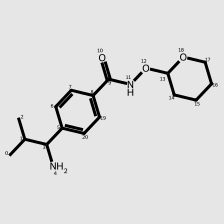 CC(C)C(N)c1ccc(C(=O)NOC2CCCCO2)cc1